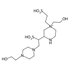 O=S(=O)(O)CC[N+]1(CCO)CCNC(C(CN2CCN(CCO)CC2)S(=O)(=O)O)C1